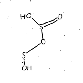 O=S(O)OSO